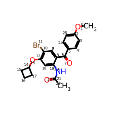 COc1ccc(C(=O)c2cc(Br)c(OC3CCC3)cc2NC(C)=O)cc1